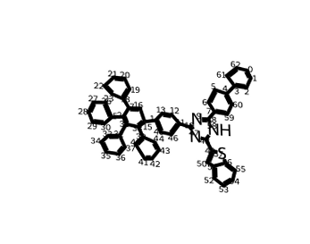 c1ccc(-c2ccc(C3=NC(c4ccc(-c5cc(-c6ccccc6)c(-c6ccccc6)c(-c6ccccc6)c5-c5ccccc5)cc4)=NC(c4cc5ccccc5s4)N3)cc2)cc1